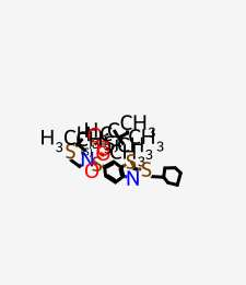 CC(C)C(C)(C)[Si](C)(C)OC(=O)[C@@H]1N(S(=O)(=O)c2ccc3nc(SCC4CCCCC4)sc3c2)CCSC1(C)C